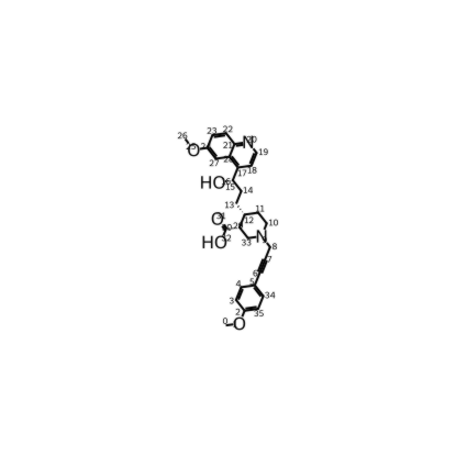 COc1ccc(C#CCN2CC[C@@H](CC[C@H](O)c3ccnc4ccc(OC)cc34)[C@@H](C(=O)O)C2)cc1